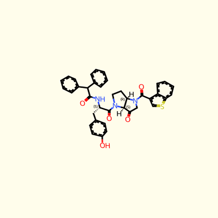 O=C(N[C@@H](Cc1ccc(O)cc1)C(=O)N1CC[C@@H]2[C@H]1C(=O)CN2C(=O)c1csc2ccccc12)C(c1ccccc1)c1ccccc1